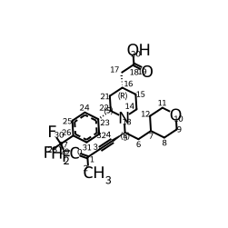 C=C(C)C#C[C@H](CC1CCOCC1)N1CC[C@@H](CC(=O)O)C[C@H]1c1ccc(C(F)(F)F)cc1